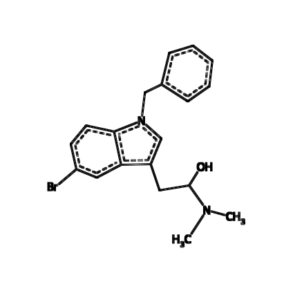 CN(C)C(O)Cc1cn(Cc2ccccc2)c2ccc(Br)cc12